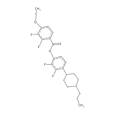 CCCC1CCC(c2ccc(OC(=S)c3ccc(OCC)c(F)c3F)c(F)c2F)CC1